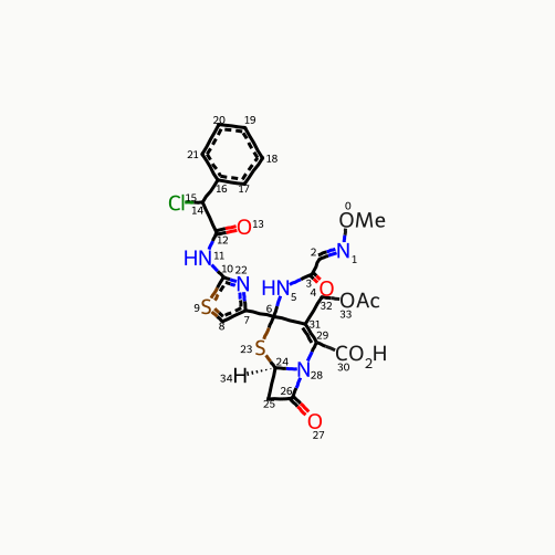 CON=CC(=O)NC1(c2csc(NC(=O)C(Cl)c3ccccc3)n2)S[C@@H]2CC(=O)N2C(C(=O)O)=C1COC(C)=O